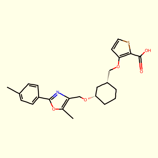 Cc1ccc(-c2nc(CO[C@H]3CCC[C@@H](COc4ccsc4C(=O)O)C3)c(C)o2)cc1